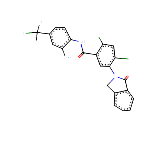 COc1cc(C(F)(C(F)(F)F)C(F)(F)F)ccc1NC(=O)c1cc(N2Cc3ccccc3C2=O)c(F)cc1Cl